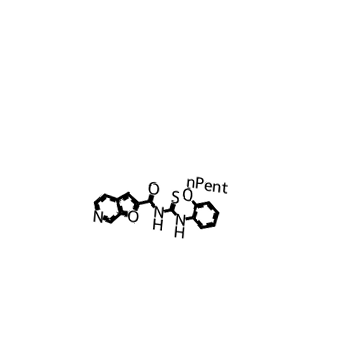 CCCCCOc1ccccc1NC(=S)NC(=O)c1cc2ccncc2o1